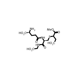 COC(=O)C(CC(=O)O)SC[C@H](NC(=O)CC[C@H](N)C(=O)O)C(=O)NCC(=O)O